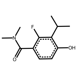 CC(C)c1c(O)ccc(C(=O)N(C)C)c1F